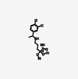 CCOC(CCCNC(C)c1ccc(Cl)c(Cl)c1)(OCC)[PH](=O)O